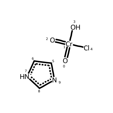 [O]=[Cr](=[O])([OH])[Cl].c1c[nH]cn1